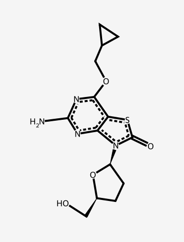 Nc1nc(OCC2CC2)c2sc(=O)n([C@H]3CC[C@@H](CO)O3)c2n1